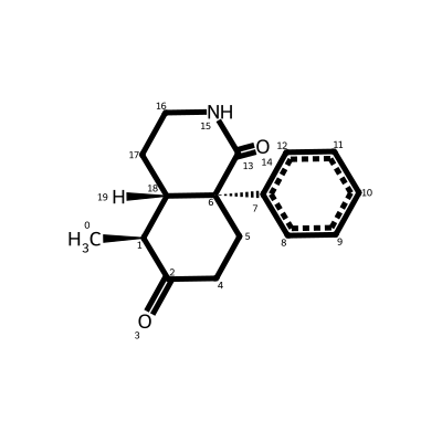 C[C@@H]1C(=O)CC[C@]2(c3ccccc3)C(=O)NCC[C@@H]12